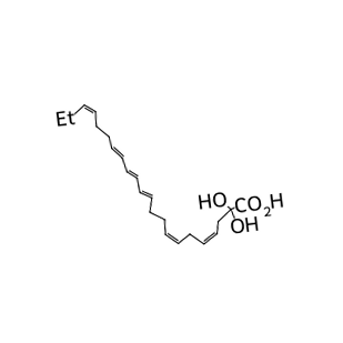 CC/C=C\CC/C=C/C=C/C=C/CC/C=C\C/C=C\CC(O)(O)C(=O)O